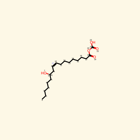 CCCCCC[C@@H](O)C/C=C\CCCCCCCC(=O)OC(=O)O